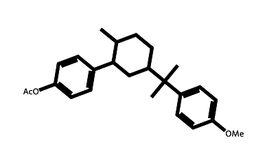 COc1ccc(C(C)(C)C2CCC(C)C(c3ccc(OC(C)=O)cc3)C2)cc1